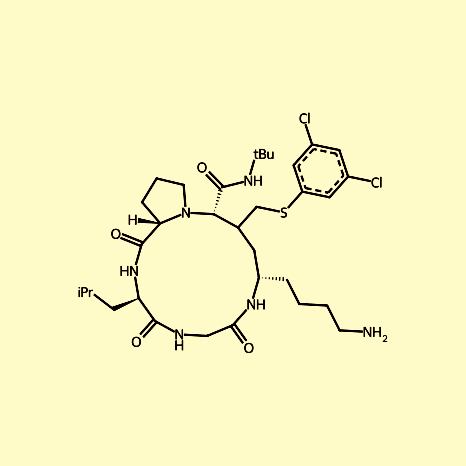 CC(C)C[C@H]1NC(=O)[C@@H]2CCCN2[C@H](C(=O)NC(C)(C)C)C(CSc2cc(Cl)cc(Cl)c2)C[C@H](CCCCN)NC(=O)CNC1=O